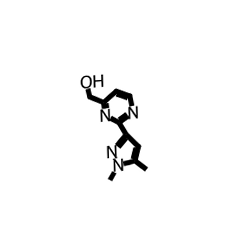 Cc1cc(-c2nccc(CO)n2)nn1C